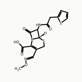 CON=CC1=C(C(=O)O)N2C(=O)C(NC(=O)Cc3cccs3)[C@@H]2SC1